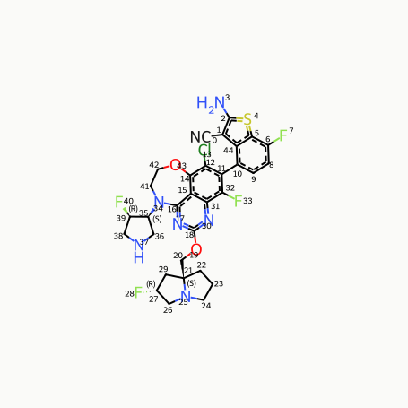 N#Cc1c(N)sc2c(F)ccc(-c3c(Cl)c4c5c(nc(OC[C@@]67CCCN6C[C@H](F)C7)nc5c3F)N([C@H]3CNC[C@H]3F)CCO4)c12